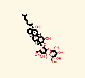 C=C(CCC=C(C)C)[C@H]1CC[C@]2(C)[C@@H]1[C@H](O)C[C@@H]1[C@@]3(C)C[C@@H](O)[C@H](O[C@@H]4O[C@H](CO)[C@@H](O)[C@H](O)[C@H]4O[C@@H]4O[C@H](CO)[C@@H](O)[C@H](O)[C@H]4O)C(C)(C)[C@@H]3CC[C@]12C